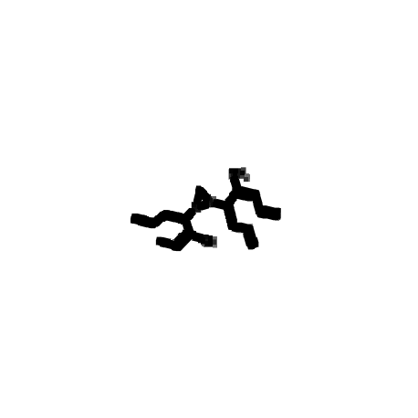 C=C/C=C(N)\C(=C/C=C)N1CN1C(=C/C=C)/C(O)=C\C